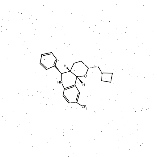 FC(F)(F)c1ccc2c(c1)[C@H]1O[C@@H](CN3CCC3)CC[C@H]1[C@H](c1ccccc1)N2